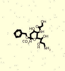 NCC(O)C(O)C1OC(OCc2ccccc2)(C(=O)O)CC(O)C1NC(=O)CO